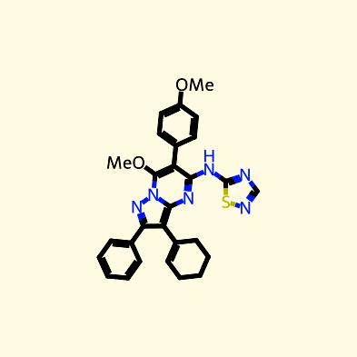 COc1ccc(-c2c(Nc3ncns3)nc3c(C4=CCCCC4)c(-c4ccccc4)nn3c2OC)cc1